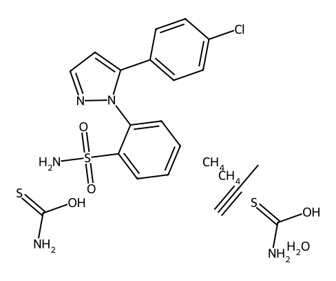 C.C.C#CC.NC(O)=S.NC(O)=S.NS(=O)(=O)c1ccccc1-n1nccc1-c1ccc(Cl)cc1.O